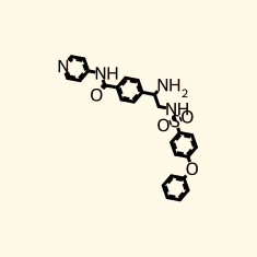 NC(CNS(=O)(=O)c1ccc(Oc2ccccc2)cc1)c1ccc(C(=O)Nc2ccncc2)cc1